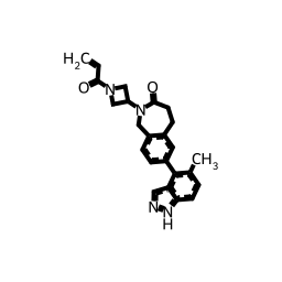 C=CC(=O)N1CC(N2Cc3ccc(-c4c(C)ccc5[nH]ncc45)cc3CCC2=O)C1